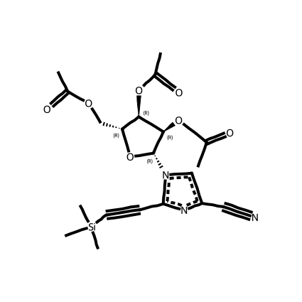 CC(=O)OC[C@H]1O[C@@H](n2cc(C#N)nc2C#C[Si](C)(C)C)[C@H](OC(C)=O)[C@@H]1OC(C)=O